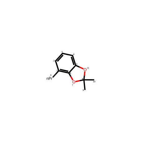 CCCc1cccc2c1OC(C)(C)O2